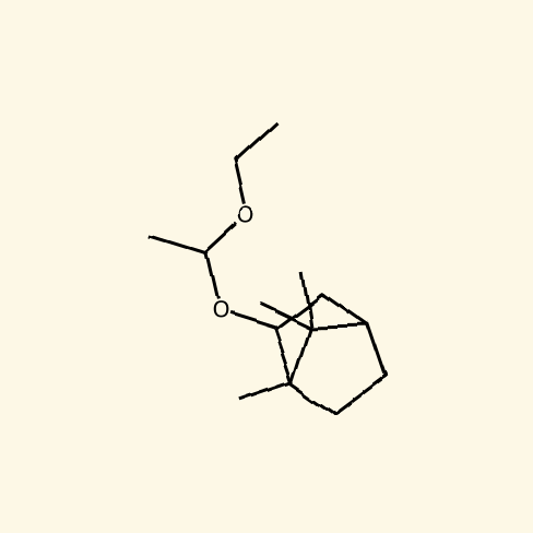 CCOC(C)OC1CC2CCC1(C)C2(C)C